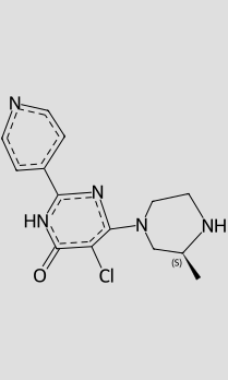 C[C@H]1CN(c2nc(-c3ccncc3)[nH]c(=O)c2Cl)CCN1